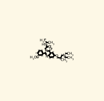 CCN(CC)C[C@H](C)COc1ccc2nc(-c3cccc(OC)c3)n(CC(=O)NC(C)C)c(=O)c2c1